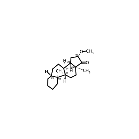 CO[C@H]1C[C@H]2[C@@H]3CC[C@H]4CCCC[C@]4(C)[C@H]3CC[C@]2(C)C1=O